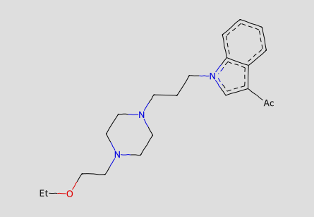 CCOCCN1CCN(CCCn2cc(C(C)=O)c3ccccc32)CC1